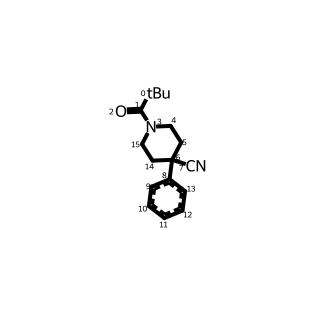 CC(C)(C)C(=O)N1CCC(C#N)(c2ccccc2)CC1